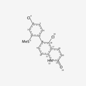 CSc1cc(Cl)ccc1-c1ccc2[nH]c(=O)ccc2c1Cl